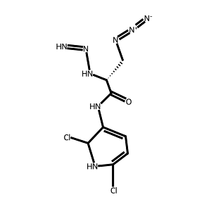 [N-]=[N+]=NC[C@@H](NN=N)C(=O)NC1=CC=C(Cl)NC1Cl